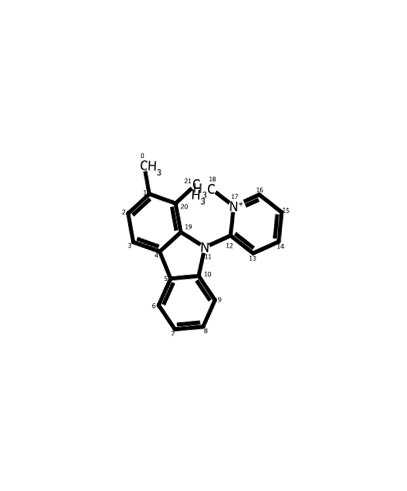 Cc1ccc2c3ccccc3n(-c3cccc[n+]3C)c2c1C